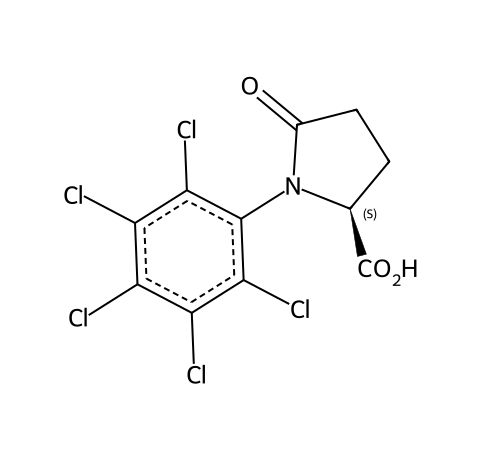 O=C(O)[C@@H]1CCC(=O)N1c1c(Cl)c(Cl)c(Cl)c(Cl)c1Cl